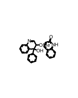 COC1C=Nc2ccccc2C1(O)c1ccccc1.O=c1ccc2ccccc2[nH]1